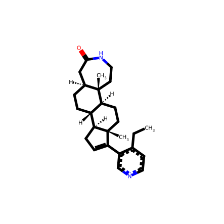 CCc1ccncc1C1=CC[C@H]2[C@@H]3CC[C@H]4CC(=O)NCC[C@]4(C)[C@H]3CC[C@]12C